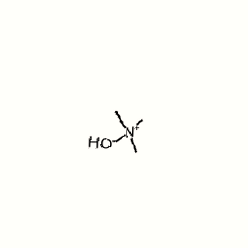 C[N+](C)(C)O